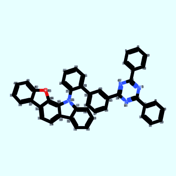 c1ccc(-c2nc(-c3ccccc3)nc(-c3cccc(-c4ccccc4-n4c5ccccc5c5ccc6c7ccccc7oc6c54)c3)n2)cc1